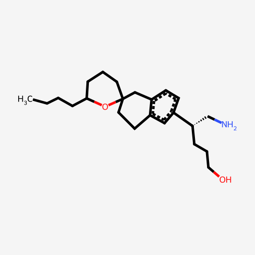 CCCCC1CCCC2(CCc3cc([C@H](CN)CCCO)ccc3C2)O1